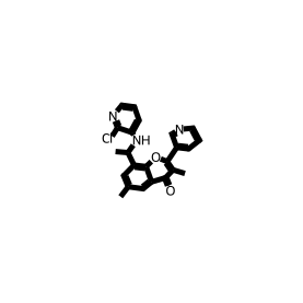 Cc1cc(C(C)Nc2cccnc2Cl)c2oc(-c3cccnc3)c(C)c(=O)c2c1